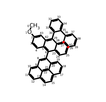 COc1ccc2c(-c3cc4cccc5ccc6cccc3c6c54)c3ccccc3c(-c3ccccc3-c3ccccc3)c2c1